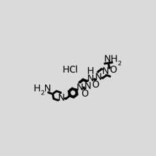 CC1CN(C(=O)Nc2ccn(-c3ccc(CN4CCC(CN)CC4)cc3)c(=O)n2)CCN1C(=O)C(C)(C)N.Cl